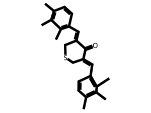 Cc1ccc(/C=C2\CSC/C(=C\c3ccc(C)c(C)c3C)C2=O)c(C)c1C